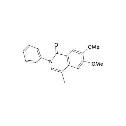 COc1cc2c(C)cn(-c3ccccc3)c(=O)c2cc1OC